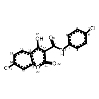 O=C(Nc1ccc(Cl)cc1)c1c(O)c2ccc(Cl)cc2oc1=O